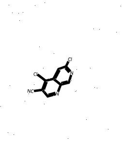 N#Cc1cnc2cnc(Cl)cc2c1Cl